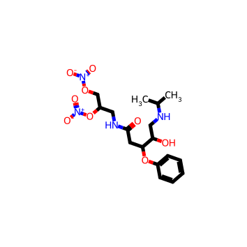 CC(C)NCC(O)C(CC(=O)NCC(CO[N+](=O)[O-])O[N+](=O)[O-])Oc1ccccc1